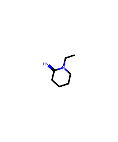 CCN1CCCCC1=N